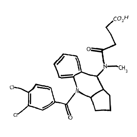 CN(C(=O)CCC(=O)O)C1c2ccccc2N(C(=O)c2ccc(Cl)c(Cl)c2)C2CCCC12